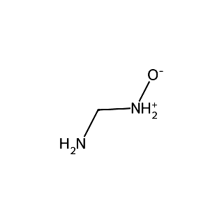 NC[NH2+][O-]